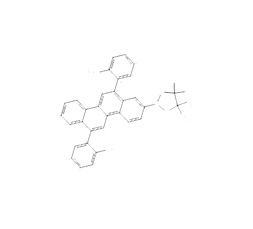 COc1ccccc1-c1cc2c3ccc(B4OC(C)(C)C(C)(C)O4)cc3c(-c3ccccc3OC)cc2c2ccccc12